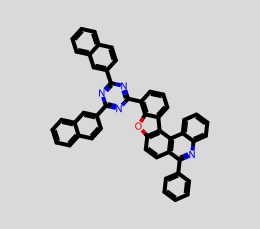 c1ccc(-c2nc3ccccc3c3c2ccc2oc4c(-c5nc(-c6ccc7ccccc7c6)nc(-c6ccc7ccccc7c6)n5)cccc4c23)cc1